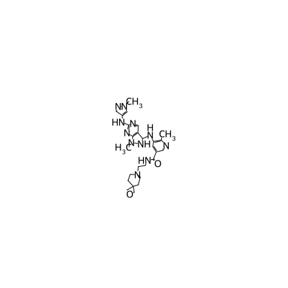 Cc1ncc(C(=O)NCCN2CCC3(CC2)COC3)cc1NC1NN(C)c2nc(Nc3cnn(C)c3)ncc21